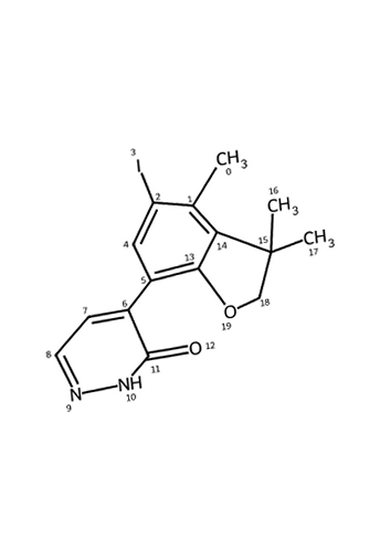 Cc1c(I)cc(-c2ccn[nH]c2=O)c2c1C(C)(C)CO2